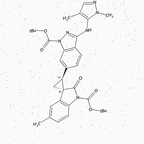 Cc1ccc2c(c1)[C@]1(C[C@H]1c1ccc3c(Nc4c(C)cnn4C)nn(C(=O)OC(C)(C)C)c3c1)C(=O)N2C(=O)OC(C)(C)C